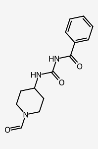 O=CN1CCC(NC(=O)NC(=O)c2ccccc2)CC1